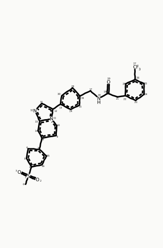 CS(=O)(=O)c1ccc(-c2ccn3c(-c4ccc(CNC(=O)Cc5cccc(C(F)(F)F)c5)cc4)cnc3c2)cc1